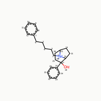 C[N+]1(CCCCCc2ccccc2)C2CCC1C(O)(c1ccccc1)CC2